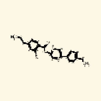 CCCc1ccc(C(=O)Oc2cnc(-c3ccc(CC)cc3)cn2)c(F)c1